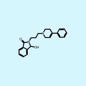 O=C1c2ccccc2C(O)N1CCCN1CC=C(c2ccccc2)CC1